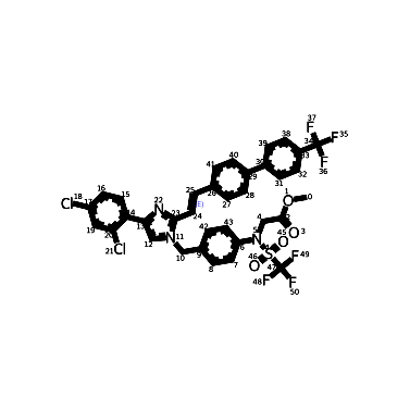 COC(=O)CN(c1ccc(Cn2cc(-c3ccc(Cl)cc3Cl)nc2/C=C/c2ccc(-c3ccc(C(F)(F)F)cc3)cc2)cc1)S(=O)(=O)C(F)(F)F